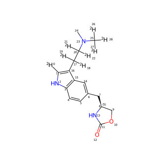 [2H]c1[nH]c2ccc(C[C@H]3COC(=O)N3)cc2c1C([2H])([2H])C([2H])([2H])N(C)C([2H])([2H])[2H]